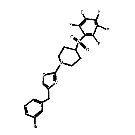 O=S(=O)(c1c(F)c(F)c(F)c(F)c1F)C1CCN(c2nc(Cc3cccc(Br)c3)cs2)CC1